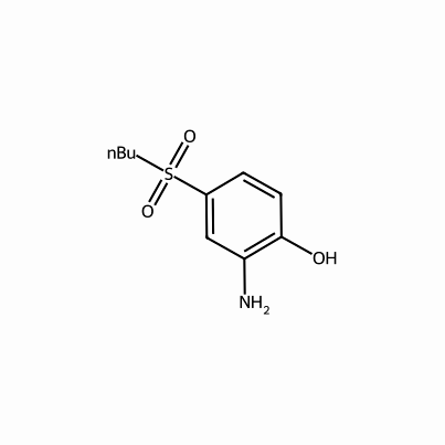 CCCCS(=O)(=O)c1ccc(O)c(N)c1